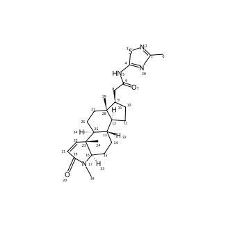 Cc1nsc(NC(=O)C[C@H]2CC[C@H]3[C@@H]4CC[C@H]5N(C)C(=O)C=C[C@]5(C)[C@H]4CC[C@]23C)n1